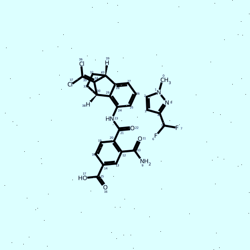 Cn1ccc(C(F)F)n1.NC(=O)c1cc(C(=O)O)ccc1C(=O)Nc1cccc2c1[C@@H]1CC[C@H]2C1=C(Cl)Cl